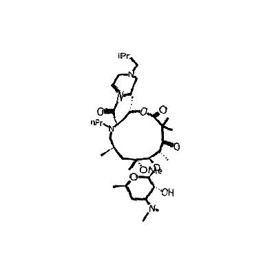 CCCN1C[C@H](C)C[C@@](C)(OC)[C@H](O[C@@H]2O[C@H](C)C[C@H](N(C)C)[C@H]2O)[C@@H](C)C(=O)C(C)(C)C(=O)O[C@@H](C)[C@@H]1C(=O)N1CCN(CC(C)C)CC1